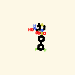 CC1(C)SCCN(S(=O)(=O)c2ccc(-c3cc(F)cc(F)c3)cc2)[C@H]1C(=O)NO